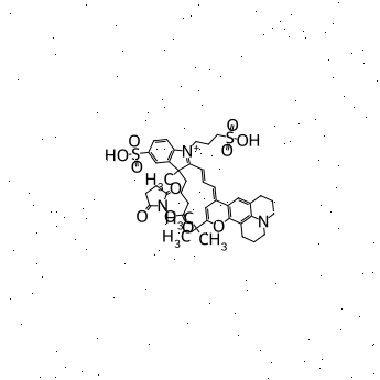 CC(C)(C)C1=C/C(=C\C=C\C2=[N+](CCCS(=O)(=O)O)c3ccc(S(=O)(=O)O)cc3C2(C)CCCC(=O)ON2C(=O)CCC2=O)c2cc3c4c(c2O1)CCCN4CCC3